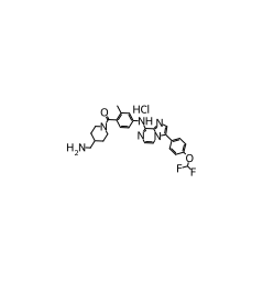 Cc1cc(Nc2nccn3c(-c4ccc(OC(F)F)cc4)cnc23)ccc1C(=O)N1CCC(CN)CC1.Cl